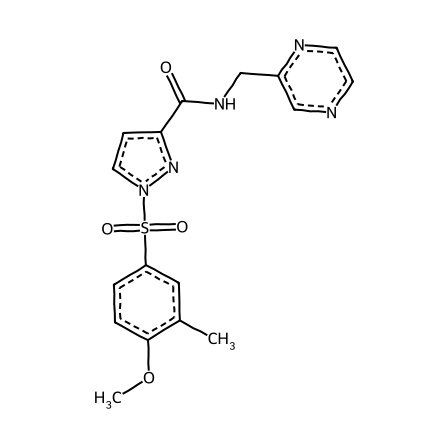 COc1ccc(S(=O)(=O)n2ccc(C(=O)NCc3cnccn3)n2)cc1C